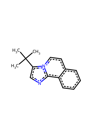 CC(C)(C)c1cnc2c3ccccc3ccn12